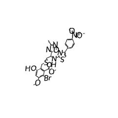 COC(=O)c1c(Br)c(OC)cc(O)c1CSCC(Nc1nc(-c2ccc([N+](=O)[O-])cc2)cs1)c1nc(C)no1